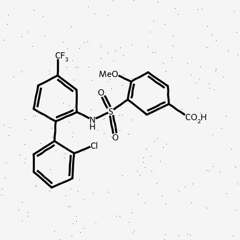 COc1ccc(C(=O)O)cc1S(=O)(=O)Nc1cc(C(F)(F)F)ccc1-c1ccccc1Cl